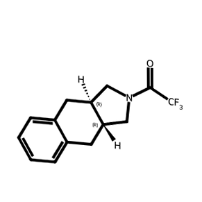 O=C(N1C[C@@H]2Cc3ccccc3C[C@H]2C1)C(F)(F)F